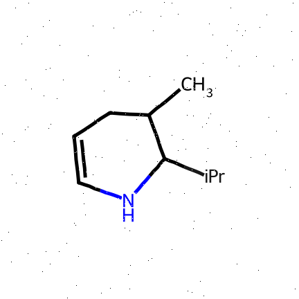 CC(C)C1NC=CCC1C